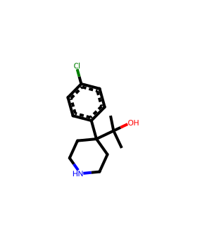 CC(C)(O)C1(c2ccc(Cl)cc2)CCNCC1